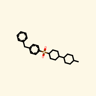 CC1CCC(C2CCC(S(=O)(=O)c3ccc(Cc4ccccc4)cc3)CC2)CC1